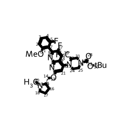 COc1cccc(F)c1-c1nc2nc(OC[C@@H]3CCCN3C)cc(N3CCN(C(=O)OC(C)(C)C)CC3C)c2cc1F